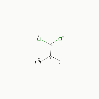 CCCC(C)C(Cl)Cl